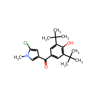 Cn1cc(C(=O)c2cc(C(C)(C)C)c(O)c(C(C)(C)C)c2)cc1Cl